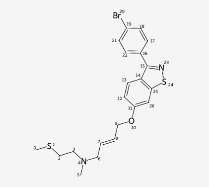 CSCCN(C)CC=CCOc1ccc2c(-c3ccc(Br)cc3)nsc2c1